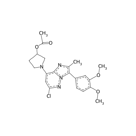 COc1ccc(-c2c(C)nc3c(N4CCC(OC(C)=O)C4)cc(Cl)nn23)cc1OC